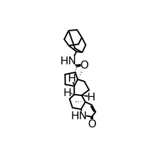 C[C@]12CC[C@H]3[C@@H](CCC4NC(=O)C=C[C@@]43C)[C@@H]1CC[C@@H]2C(=O)NC1C2CC3CC(C2)CC1C3